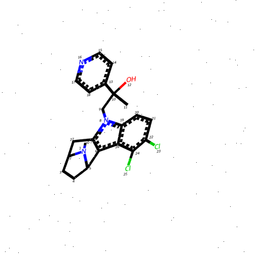 CN1C2CCC1c1c(n(CC(C)(O)c3ccncc3)c3ccc(Cl)c(Cl)c13)C2